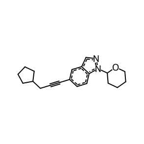 C(#Cc1ccc2c(cnn2C2CCCCO2)c1)CC1CCCC1